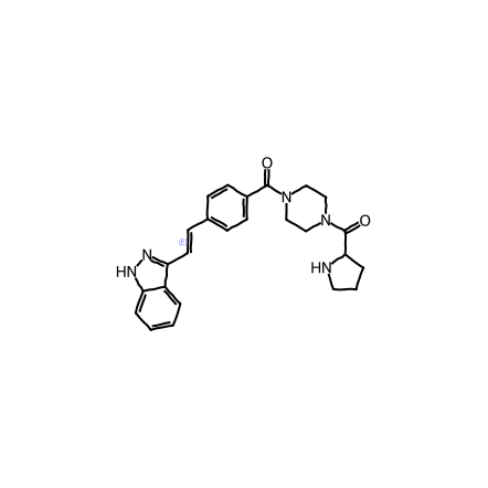 O=C(c1ccc(/C=C/c2n[nH]c3ccccc23)cc1)N1CCN(C(=O)C2CCCN2)CC1